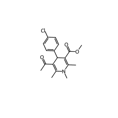 COC(=O)C1=C(C)N(C)C(C)=C(C(C)=O)C1c1ccc(Cl)cc1